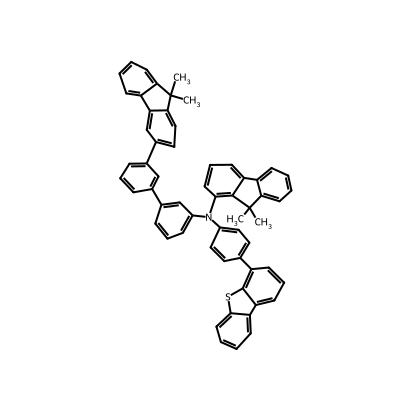 CC1(C)c2ccccc2-c2cc(-c3cccc(-c4cccc(N(c5ccc(-c6cccc7c6sc6ccccc67)cc5)c5cccc6c5C(C)(C)c5ccccc5-6)c4)c3)ccc21